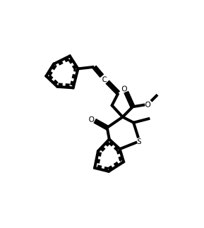 COC(=O)C1(CC=C=Cc2ccccc2)C(=O)c2ccccc2SC1C